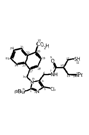 CCCCc1nc(Cl)c(CNC(=O)C(CS)CC(C)C)n1Cc1ccc(C(=O)O)c2ccccc12